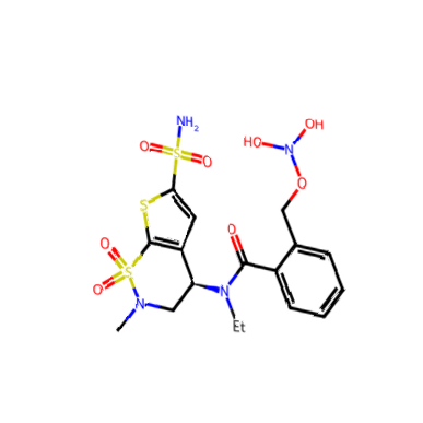 CCN(C(=O)c1ccccc1CON(O)O)[C@H]1CN(C)S(=O)(=O)c2sc(S(N)(=O)=O)cc21